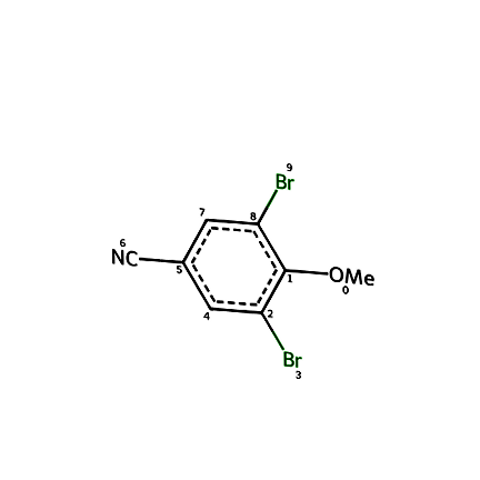 COc1c(Br)cc(C#N)cc1Br